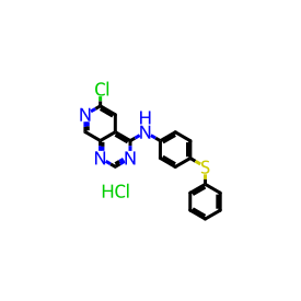 Cl.Clc1cc2c(Nc3ccc(Sc4ccccc4)cc3)ncnc2cn1